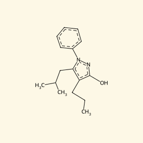 CCCc1c(O)nn(-c2ccccc2)c1CC(C)C